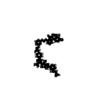 CN(CC[C@@H]1CN(CCCc2cccc3c2n(C)c(=O)n3C2CCC(=O)NC2=O)CCO1)C[C@H]1CC[C@H](n2cc(NC(=O)c3coc(-c4ccnc(NCC5CC5)c4)n3)c(C(F)F)n2)CC1